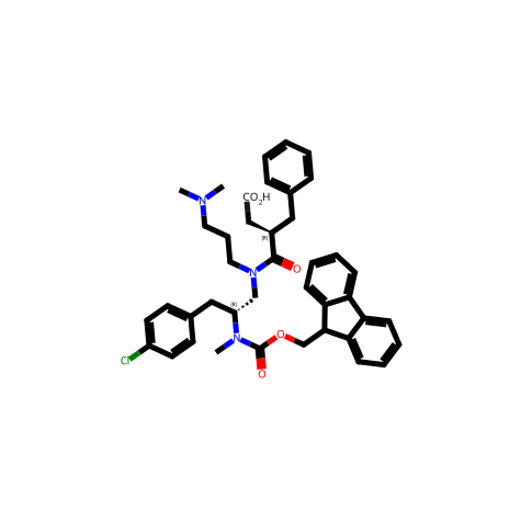 CN(C)CCCN(C[C@@H](Cc1ccc(Cl)cc1)N(C)C(=O)OCC1c2ccccc2-c2ccccc21)C(=O)[C@@H](CC(=O)O)Cc1ccccc1